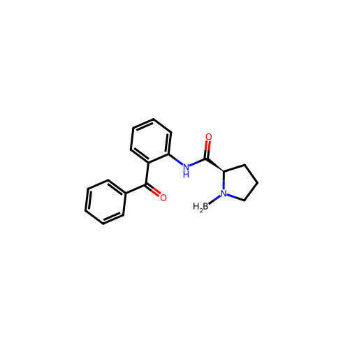 BN1CCC[C@@H]1C(=O)Nc1ccccc1C(=O)c1ccccc1